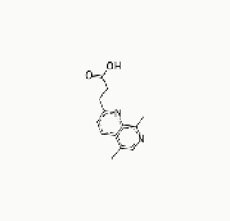 Cc1cnc(C)c2nc(CCC(=O)O)ccc12